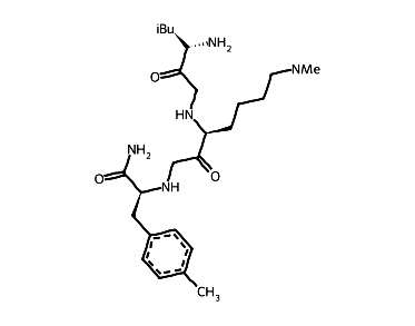 CC[C@H](C)[C@H](N)C(=O)CN[C@@H](CCCCNC)C(=O)CN[C@@H](Cc1ccc(C)cc1)C(N)=O